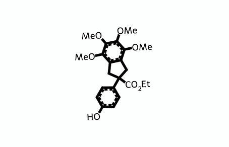 CCOC(=O)C1(c2ccc(O)cc2)Cc2c(c(OC)c(OC)c(OC)c2OC)C1